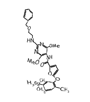 COc1nc(NCCOCc2ccccc2)nc(OC)c1NC(=O)c1ccc(Oc2cc([Si](C)(C)C)ccc2C)o1